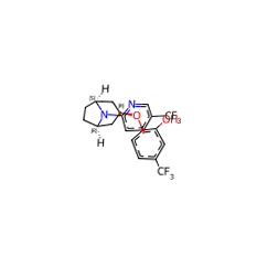 Oc1cc(C(F)(F)F)ccc1O[C@H]1C[C@H]2CC[C@@H](C1)N2c1ccc(C(F)(F)F)cn1